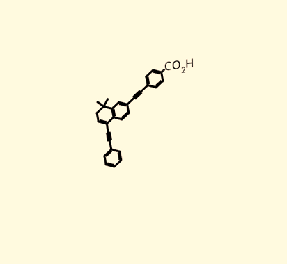 CC1(C)CC=C(C#Cc2ccccc2)c2ccc(C#Cc3ccc(C(=O)O)cc3)cc21